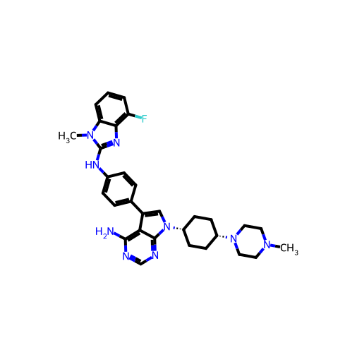 CN1CCN([C@H]2CC[C@@H](n3cc(-c4ccc(Nc5nc6c(F)cccc6n5C)cc4)c4c(N)ncnc43)CC2)CC1